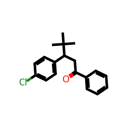 CC(C)(C)C(CC(=O)c1ccccc1)c1ccc(Cl)cc1